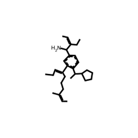 C/C=C(/C)CCC/C(=C\CC)c1cc(C(N)/C(=C\C)CC)ccc1C(C)C1CCCC1